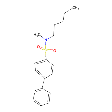 CCCCCN(C)S(=O)(=O)c1ccc(-c2ccccc2)cc1